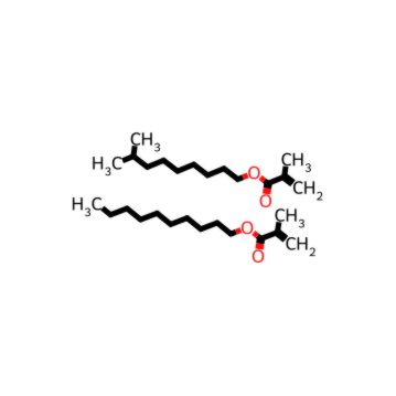 C=C(C)C(=O)OCCCCCCCC(C)C.C=C(C)C(=O)OCCCCCCCCCC